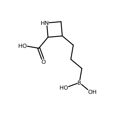 O=C(O)C1NCC1CCCB(O)O